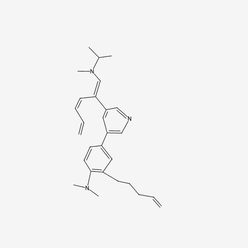 C=C/C=C\C(=C/N(C)C(C)C)c1cncc(-c2ccc(N(C)C)c(CCCC=C)c2)c1